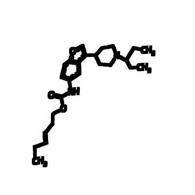 CCC=CCCOC(=O)Nc1ccc2occ(C3CCN(C(CC)CC)CC3)c2c1